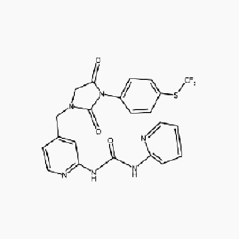 O=C(Nc1ccccn1)Nc1cc(CN2CC(=O)N(c3ccc(SC(F)(F)F)cc3)C2=O)ccn1